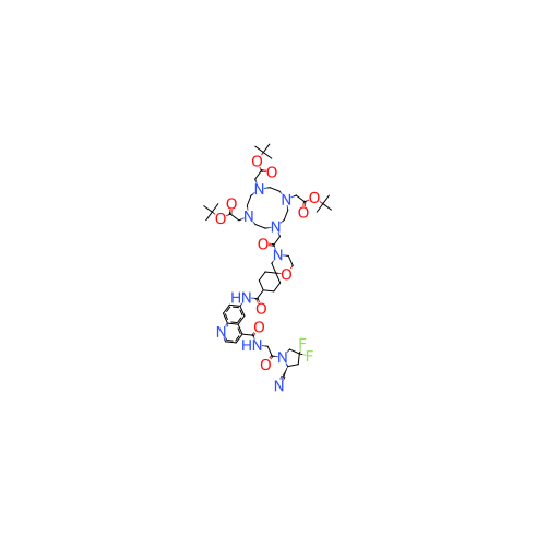 CC(C)(C)OC(=O)CN1CCN(CC(=O)OC(C)(C)C)CCN(CC(=O)N2CCOC3(CCC(C(=O)Nc4ccc5nccc(C(=O)NCC(=O)N6CC(F)(F)C[C@H]6C#N)c5c4)CC3)C2)CCN(CC(=O)OC(C)(C)C)CC1